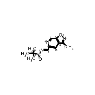 Cc1noc2cnc(C=N[S+]([O-])C(C)(C)C)cc12